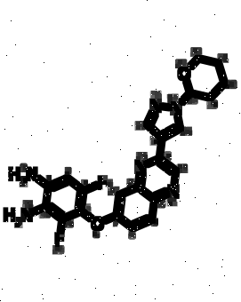 Nc1cc(F)c(Oc2ccc3ncc(-c4cnn(C5CCCCO5)c4)nc3c2)c(F)c1N